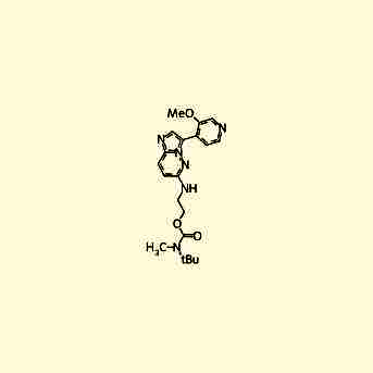 COc1cnccc1-c1cnc2ccc(NCCOC(=O)N(C)C(C)(C)C)nn12